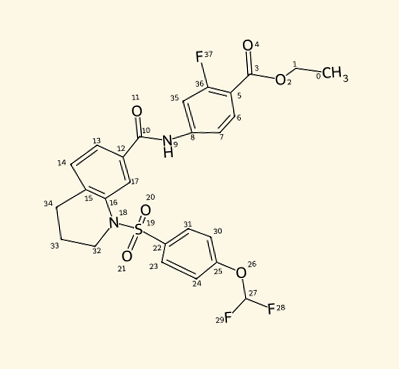 CCOC(=O)c1ccc(NC(=O)c2ccc3c(c2)N(S(=O)(=O)c2ccc(OC(F)F)cc2)CCC3)cc1F